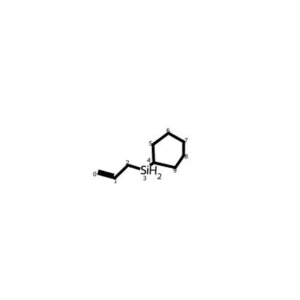 C=CC[SiH2]C1CCCCC1